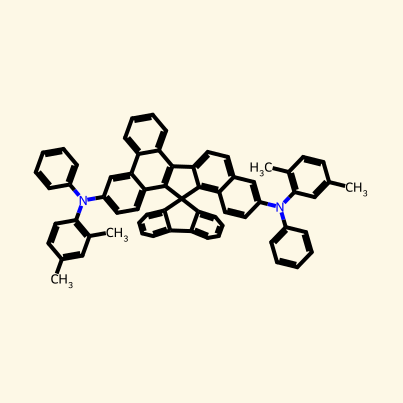 Cc1ccc(N(c2ccccc2)c2ccc3c4c(c5ccccc5c3c2)-c2ccc3cc(N(c5ccccc5)c5cc(C)ccc5C)ccc3c2C42c3ccccc3-c3ccccc32)c(C)c1